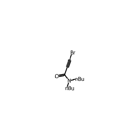 CCCCN(CCCC)C(=O)C#CBr